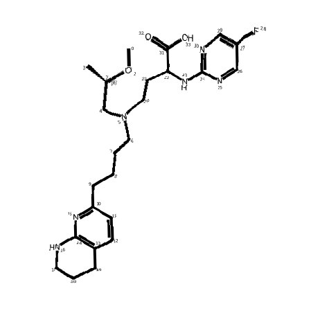 CO[C@H](C)CN(CCCCc1ccc2c(n1)NCCC2)CCC(Nc1ncc(F)cn1)C(=O)O